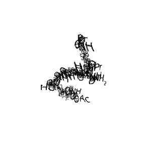 CC(=O)O[C@@H](C)/C=C\C(=O)N[C@@H]1C[C@H](C)[C@H](C/C=C(C)/C=C/[C@H]2O[C@H](CNC(=O)NCNC(=O)OCc3ccc(NC(=O)[C@H](CCCNC(N)=O)NC(=O)[C@@H](NC(=O)CCCCCNC(=O)CBr)C(C)C)cc3)C[C@@]3(CO3)[C@@H]2O)O[C@@H]1C